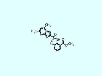 COC(=O)c1cccc(F)c1NS(=O)(=O)c1nc2nc(C)cc(C)n2n1